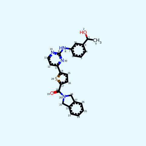 CC(O)c1cccc(Nc2nccc(-c3ccc(C(=O)N4Cc5ccccc5C4)s3)n2)c1